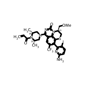 C=CC(=O)N1[C@H](C)CN(c2nc(=O)n3c4c(c(-c5nc(N)ccc5I)c(C(F)(F)F)cc24)SC[C@@H]3COC)C[C@@H]1C